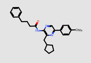 COc1ccc(-c2cnc(NC(=O)CCCc3ccccc3)c(CC3CCCC3)n2)cc1